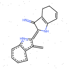 C=c1/c(=C2\NC3=C(CCC=C3)C2=N)[nH]c2ccccc12